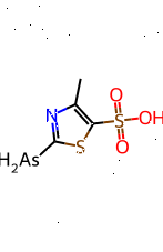 Cc1nc([AsH2])sc1S(=O)(=O)O